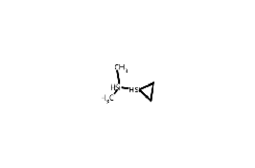 C[SiH](C)[SiH]1CC1